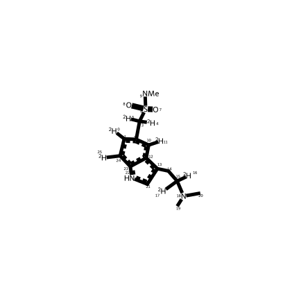 [2H]c1c(C([2H])([2H])S(=O)(=O)NC)c([2H])c2c(CC([2H])([2H])N(C)C)c[nH]c2c1[2H]